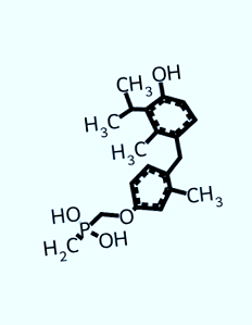 C=P(O)(O)COc1ccc(Cc2ccc(O)c(C(C)C)c2C)c(C)c1